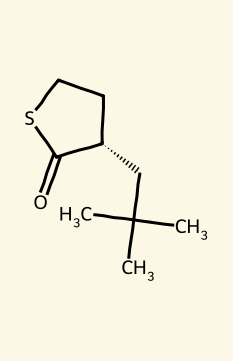 CC(C)(C)C[C@H]1CCSC1=O